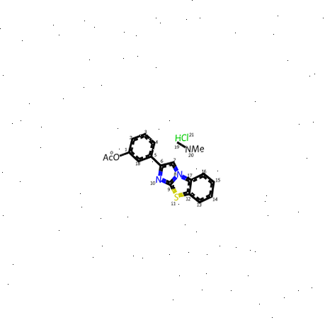 CC(=O)Oc1cccc(-c2cn3c(n2)sc2ccccc23)c1.CNC.Cl